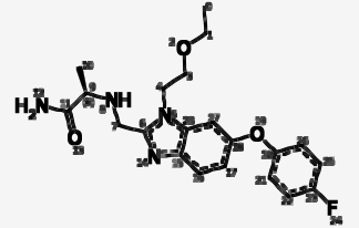 CCOCCn1c(CN[C@H](C)C(N)=O)nc2ccc(Oc3ccc(F)cc3)cc21